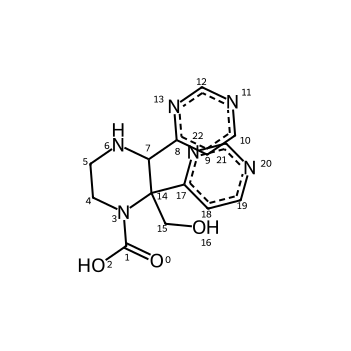 O=C(O)N1CCNC(c2ccncn2)C1(CO)c1ccncn1